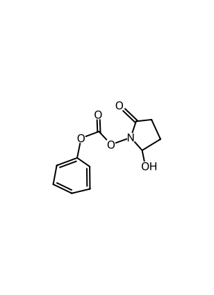 O=C(Oc1ccccc1)ON1C(=O)CCC1O